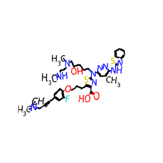 CNCCN(C)CC(O)CCCN(c1cc(C)c(Nc2nc3ccccc3s2)nn1)c1nc(C(=O)O)c(CCCOc2ccc(C#CCN(C)C)cc2F)s1